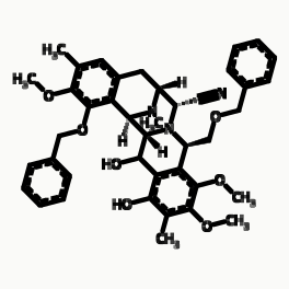 COc1c(C)cc2c(c1OCc1ccccc1)[C@@H]1[C@H]3C(O)c4c(O)c(C)c(OC)c(OC)c4[C@H](COCc4ccccc4)N3[C@@H](C#N)[C@@H](C2)N1C